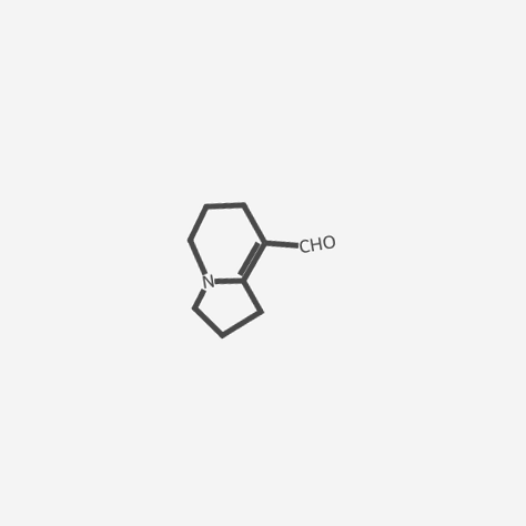 O=CC1=C2CCCN2CCC1